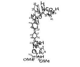 COCN[C@H](C(=O)N1CCC[C@H]1c1ncc(-c2ccc(-c3ccc(-c4cnc([C@@H]5CCCN5C(=O)[C@H](Cc5cncn5C)NC(=O)O)[nH]4)cc3)cc2)[nH]1)[C@@H](C)OC